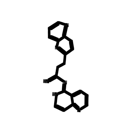 N=C(CCc1ccc2ncccc2n1)/N=c1\[nH]ccc2ncccc12